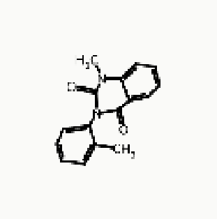 Cc1ccccc1-n1c(=O)c2ccccc2n(C)c1=O